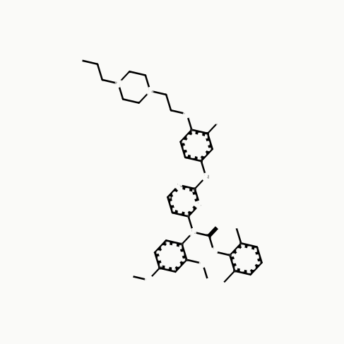 CCCN1CCN(CCOc2ccc(Nc3nccc(N(C(=O)Oc4c(C)cccc4C)c4ccc(OC)cc4OC)n3)cc2F)CC1